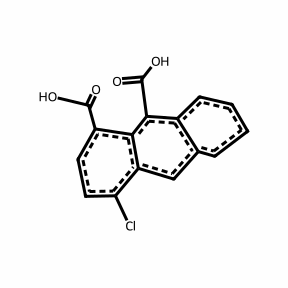 O=C(O)c1ccc(Cl)c2cc3ccccc3c(C(=O)O)c12